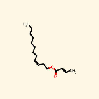 C/C=C/C(=O)OCC/C=C\CCCCCCCC